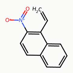 C=Cc1c([N+](=O)[O-])ccc2ccccc12